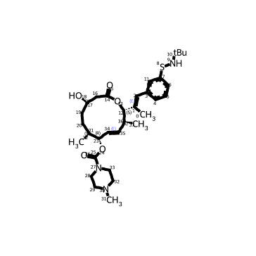 C/C(=C\c1cccc(SNC(C)(C)C)c1)[C@H]1OC(=O)C[C@H](O)CC[C@H](C)[C@@H](OC(=O)N2CCN(C)CC2)/C=C/[C@@H]1C